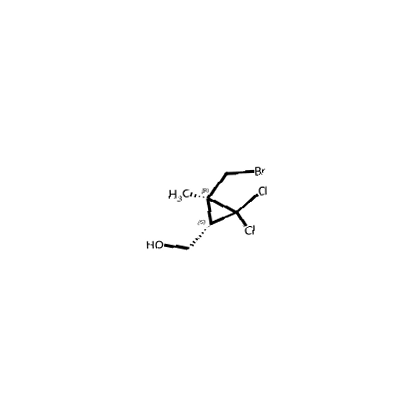 C[C@@]1(CBr)[C@@H](CO)C1(Cl)Cl